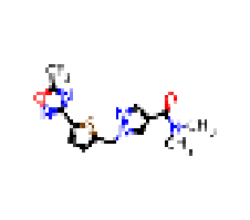 CN(C)C(=O)c1cnn(Cc2ccc(-c3noc(C(F)(F)F)n3)s2)c1